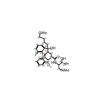 CNC[C@@H](NC(=O)N1CCCC([C@@](O)(CCCCOC)c2cccc(F)c2Oc2ccccc2C)C1)[C@@H](O)C(C)C